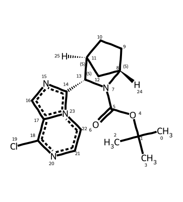 CC(C)(C)OC(=O)N1[C@H]2CC[C@@H](C2)[C@H]1c1ncc2c(Cl)nccn12